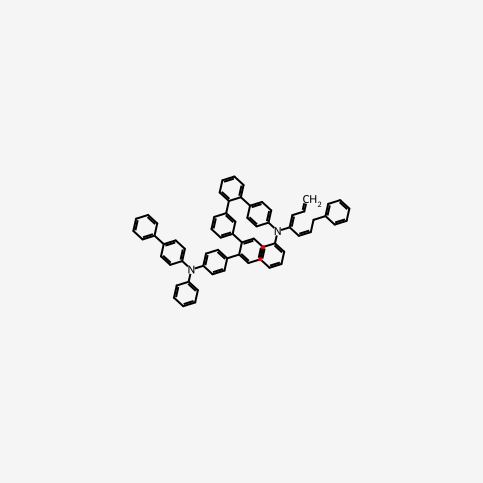 C=C/C=C(\C=C/Cc1ccccc1)N(c1ccccc1)c1ccc(-c2ccccc2-c2cccc(-c3ccccc3-c3ccc(N(c4ccccc4)c4ccc(-c5ccccc5)cc4)cc3)c2)cc1